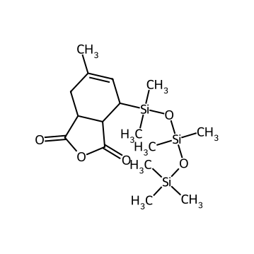 CC1=CC([Si](C)(C)O[Si](C)(C)O[Si](C)(C)C)C2C(=O)OC(=O)C2C1